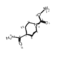 NOC(=O)N1CCC(C(N)=O)CC1